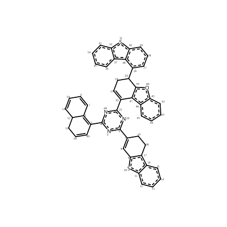 C1=CC2=C(c3nc(C4=Cc5sc6ccccc6c5CC4)nc(C4=CCC(c5cccc6sc7ccccc7c56)c5oc6ccccc6c54)n3)C=CCC2C=C1